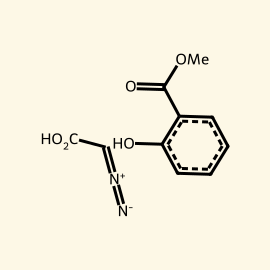 COC(=O)c1ccccc1O.[N-]=[N+]=CC(=O)O